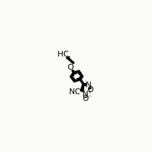 C#CCOc1ccc(-c2no[n+]([O-])c2C#N)cc1